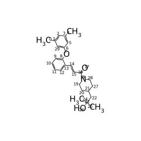 Cc1cc(C)cc(Oc2ccccc2/C=C/C(=O)N2CCC(CC(C)(C)O)CC2)c1